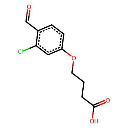 O=Cc1ccc(OCCCC(=O)O)cc1Cl